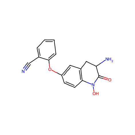 N#Cc1ccccc1Oc1ccc2c(c1)CC(N)C(=O)N2O